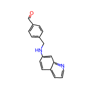 O=Cc1ccc(CNc2ccc3cccnc3c2)cc1